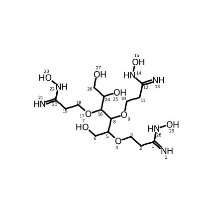 N=C(CCOC(CO)C(OCCC(=N)NO)C(OCCC(=N)NO)C(O)CO)NO